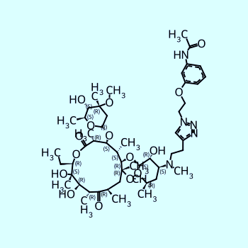 CC[C@H]1OC(=O)[C@H](C)[C@@H](O[C@H]2C[C@@](C)(OC)[C@@H](O)[C@H](C)O2)[C@H](C)[C@@H](O[C@@H]2O[C@H](C)C[C@H](N(C)CCc3cn(CCOc4cccc(NC(C)=O)c4)nn3)[C@H]2O)[C@](C)(OC)C[C@@H](C)C(=O)[C@H](C)[C@@H](O)[C@]1(C)O